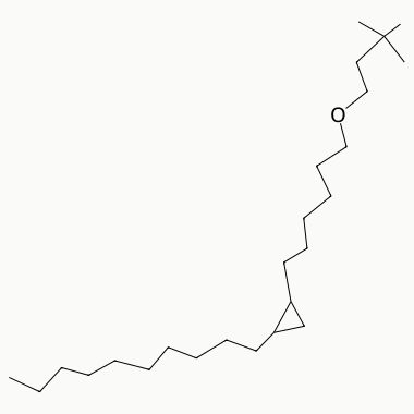 CCCCCCCCCCC1CC1CCCCCCOCCC(C)(C)C